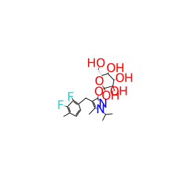 Cc1ccc(Cc2c(O[C@]3(O)O[C@H](CO)[C@@H](O)[C@H](O)[C@H]3O)nn(C(C)C)c2C)c(F)c1F